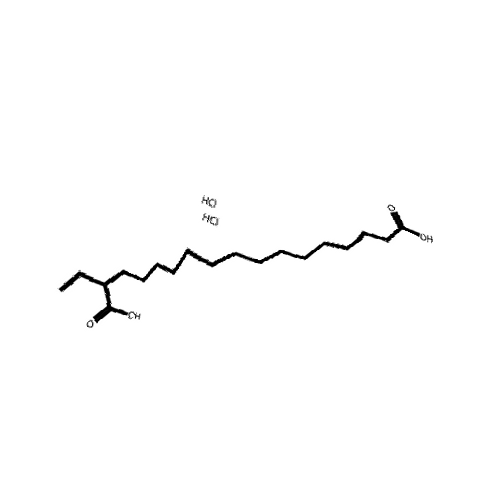 CCC(CCCCCCCCCCCCCCC(=O)O)C(=O)O.Cl.Cl